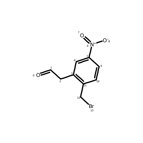 O=CCc1cc([N+](=O)[O-])ccc1CBr